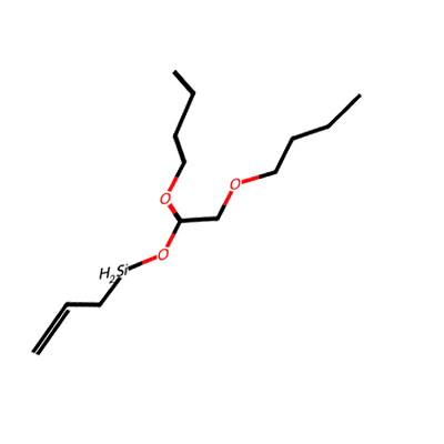 C=CC[SiH2]OC(COCCCC)OCCCC